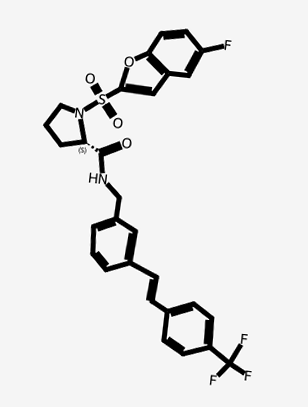 O=C(NCc1cccc(C=Cc2ccc(C(F)(F)F)cc2)c1)[C@@H]1CCCN1S(=O)(=O)c1cc2cc(F)ccc2o1